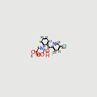 COC(=O)CN(CO)c1ccccc1C(O)c1ncc(Cl)cc1F